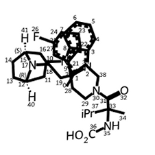 Cc1nc2ccccc2n1C1C[C@H]2CC[C@@H](C1)N2CCC1(c2cccc(F)c2)CCN(C(=O)C(C)(NC(=O)O)C(C)C)CC1